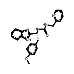 COc1ccc(C[C@@H](NC(=O)NCc2ccccn2)c2nc3ccccc3[nH]2)cc1